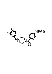 CNc1ccc(C(=O)N2CCN(Cc3ccc(C)c(C)c3)CC2)cc1